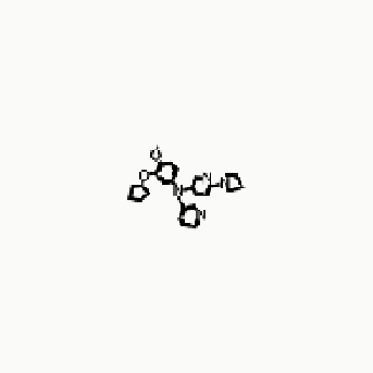 COc1ccc(N(Cc2cccnc2)c2ccc(N3CCCC3)nc2)cc1OC1CCCC1